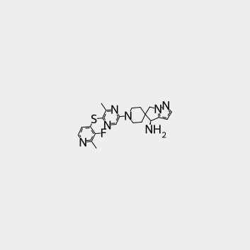 Cc1nc(N2CCC3(CC2)Cn2nccc2[C@H]3N)cnc1Sc1ccnc(C)c1F